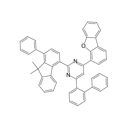 CC1(C)c2ccccc2-c2c(-c3nc(-c4ccccc4-c4ccccc4)cc(-c4cccc5c4oc4ccccc45)n3)ccc(-c3ccccc3)c21